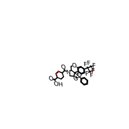 O=C(O)C12CCC(C(=O)N3CCC4(S(=O)(=O)c5ccccc5)c5ccc(C(F)(C(F)(F)F)C(F)(F)F)cc5OCC34)(CC1)CC2